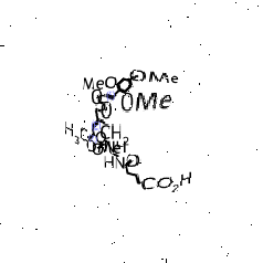 C=C/C(=C\C(OC(=O)NCCNC(=O)CCCC(=O)O)=C(/C)OC)CS(=O)(=O)/C=C/c1c(OC)cc(OC)cc1OC